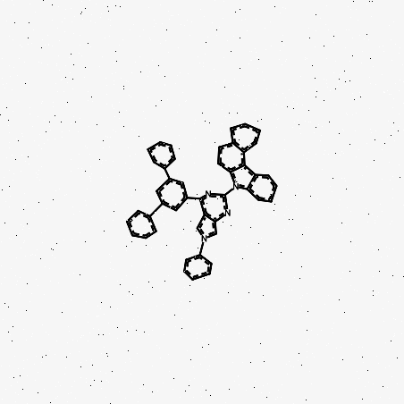 c1ccc(-c2cc(-c3ccccc3)cc(-c3nc(-n4c5ccccc5c5c6ccccc6ccc54)nc4cn(-c5ccccc5)cc34)c2)cc1